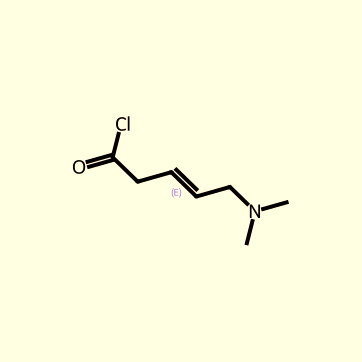 CN(C)C/C=C/CC(=O)Cl